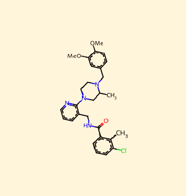 COc1ccc(CN2CCN(c3ncccc3CNC(=O)c3cccc(Cl)c3C)CC2C)cc1OC